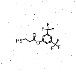 O=C(CCS)Oc1cc(C(F)(F)F)cc(C(F)(F)F)c1